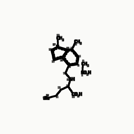 CS(=O)(=O)O.Cc1ccc(CNC(CCC(C)(C)C)C(=O)O)c2ccn(C)c12